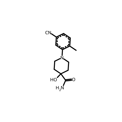 [C-]#[N+]c1ccc(C)c(N2CCC(O)(C(N)=O)CC2)c1